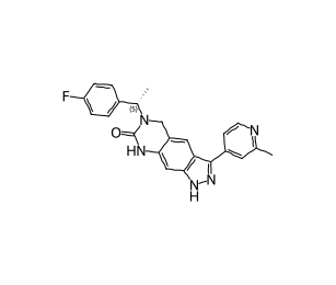 Cc1cc(-c2n[nH]c3cc4c(cc23)CN([C@@H](C)c2ccc(F)cc2)C(=O)N4)ccn1